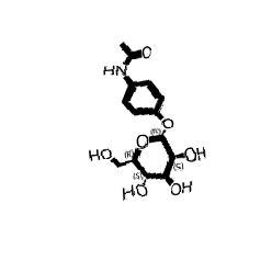 CC(=O)Nc1ccc(O[C@H]2O[C@H](CO)[C@@H](O)C(O)[C@@H]2O)cc1